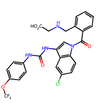 O=C(O)CNCc1ccccc1C(=O)n1cc(NC(=O)Nc2ccc(OC(F)(F)F)cc2)c2cc(Cl)ccc21